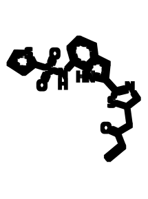 C=CC(=O)CC1CN=C(c2cc3cccc(NS(=O)(=O)c4cccs4)c3[nH]2)S1